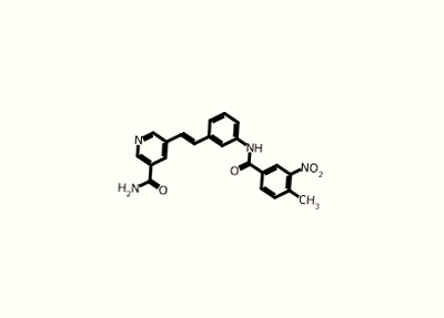 Cc1ccc(C(=O)Nc2cccc(/C=C/c3cncc(C(N)=O)c3)c2)cc1[N+](=O)[O-]